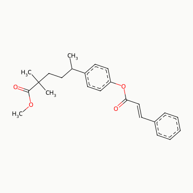 COC(=O)C(C)(C)CCC(C)c1ccc(OC(=O)/C=C/c2ccccc2)cc1